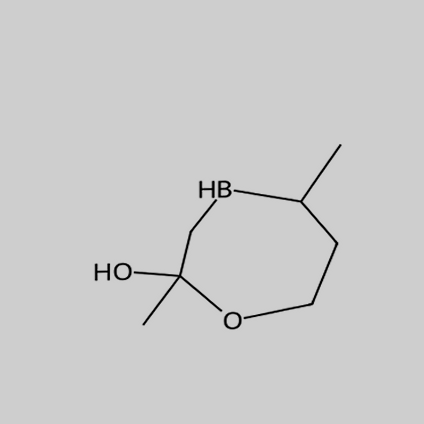 CC1BCC(C)(O)OCC1